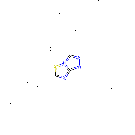 c1nc2nncn2s1